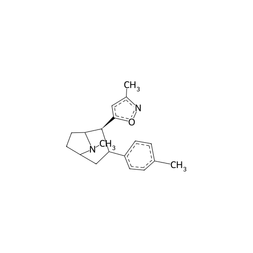 Cc1ccc(C2CC3CCC([C@H]2c2cc(C)no2)N3C)cc1